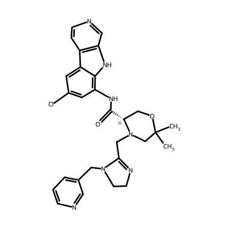 CC1(C)CN(CC2=NCCN2Cc2cccnc2)[C@H](C(=O)Nc2cc(Cl)cc3c2[nH]c2cnccc23)CO1